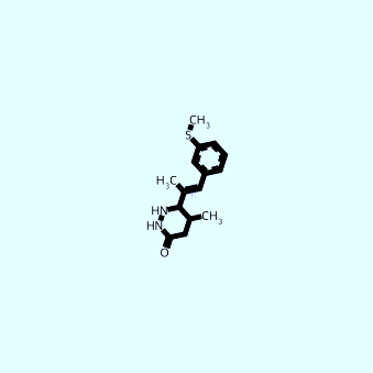 CSc1cccc(/C=C(\C)C2NNC(=O)CC2C)c1